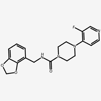 O=C(NCc1cccc2c1OCO2)N1CCN(c2ccncc2F)CC1